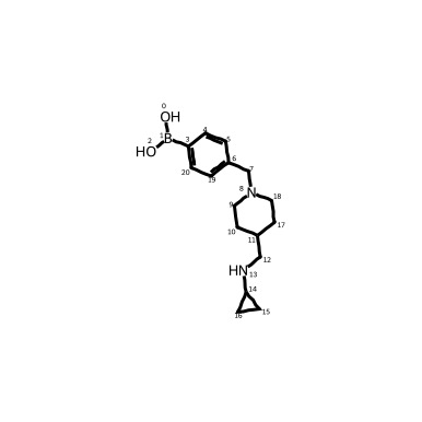 OB(O)c1ccc(CN2CCC(CNC3CC3)CC2)cc1